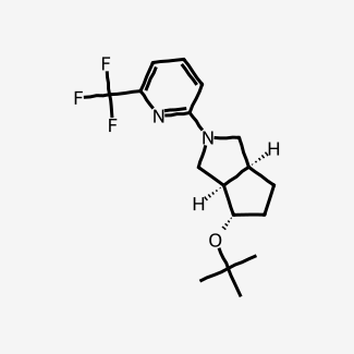 CC(C)(C)O[C@H]1CC[C@@H]2CN(c3cccc(C(F)(F)F)n3)C[C@@H]21